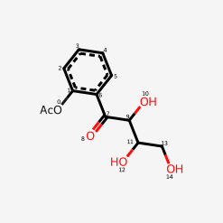 CC(=O)Oc1ccccc1C(=O)C(O)C(O)CO